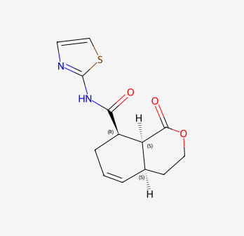 O=C1OCC[C@H]2C=CC[C@@H](C(=O)Nc3nccs3)[C@@H]12